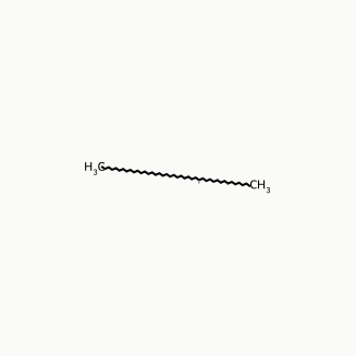 CCCCCCCCCCCCCCC[CH]CCCCCCCCCCCCCCCCCCCCCCCCCCC